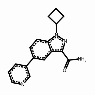 NC(=O)c1nn(C2CCC2)c2ccc(-c3cccnc3)cc12